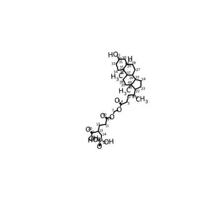 C[C@H](CCC(=O)OCOC(=O)CCC(CP(=O)(O)O)C(=O)O)C1CCC2C3CC[C@@H]4C[C@H](O)CC[C@]4(C)C3CC[C@@]21C